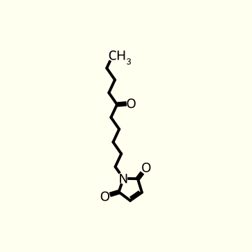 CCCCC(=O)CCCCCN1C(=O)C=CC1=O